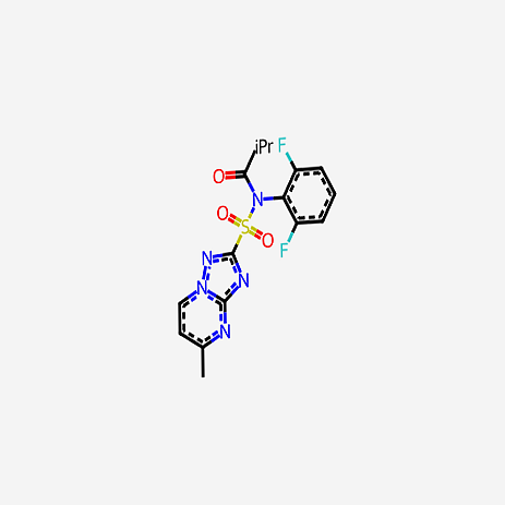 Cc1ccn2nc(S(=O)(=O)N(C(=O)C(C)C)c3c(F)cccc3F)nc2n1